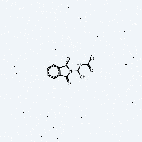 CCC(=O)NC(C)N1C(=O)c2ccccc2C1=O